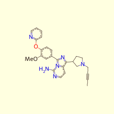 CC#CCN1CCC(c2nc(-c3ccc(Oc4ccccn4)c(OC)c3)n3c(N)nccc23)C1